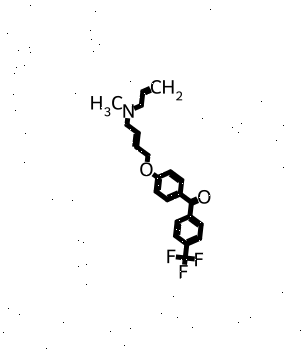 C=CCN(C)C/C=C/COc1ccc(C(=O)c2ccc(C(F)(F)F)cc2)cc1